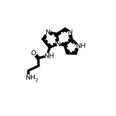 NCCC(=O)Nc1cnc2cnc3[nH]ccc3n12